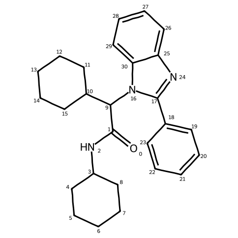 O=C(NC1CCCCC1)C(C1CCCCC1)n1c(-c2ccccc2)nc2ccccc21